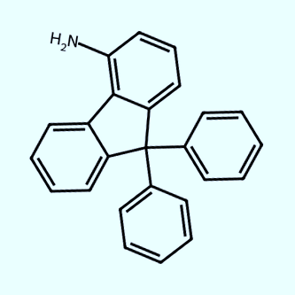 Nc1cccc2c1-c1ccccc1C2(c1ccccc1)c1ccccc1